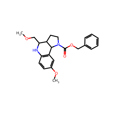 COCC1Nc2ccc(OC)cc2C2C1CCN2C(=O)OCc1ccccc1